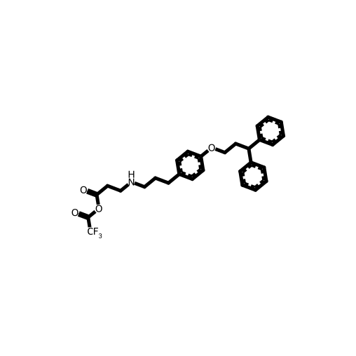 O=C(CCNCCCc1ccc(OCCC(c2ccccc2)c2ccccc2)cc1)OC(=O)C(F)(F)F